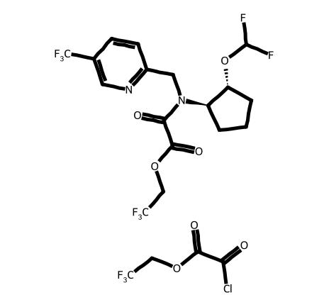 O=C(Cl)C(=O)OCC(F)(F)F.O=C(OCC(F)(F)F)C(=O)N(Cc1ccc(C(F)(F)F)cn1)[C@@H]1CCC[C@H]1OC(F)F